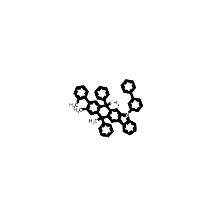 Cc1ccccc1-c1cc2c(cc1C)C(C)(c1ccccc1)c1cc3c4ccccc4n(-c4cccc(-c5ccccc5)c4)c3cc1C2(C)c1ccccc1